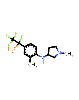 Cc1cc(C(F)(P)C(F)(F)F)ccc1NC1CCN(C)C1